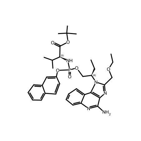 CCOCc1nc2c(N)nc3ccccc3c2n1[C@H](CC)COP(=O)(N[C@H](C(=O)OC(C)(C)C)C(C)C)Oc1ccc2ccccc2c1